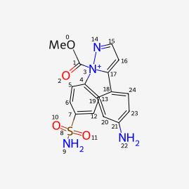 COC(=O)[N+]1(c2ccc(S(N)(=O)=O)cc2)N=CC=C1c1ccc(N)cc1